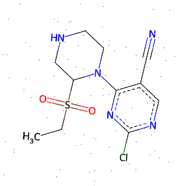 CCS(=O)(=O)C1CNCCN1c1nc(Cl)ncc1C#N